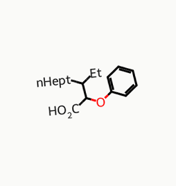 CCCCCCCC(CC)C(Oc1ccccc1)C(=O)O